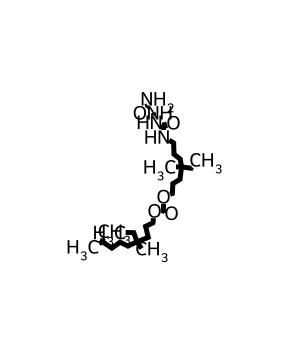 CCC(C)(CCCNC(=O)NNC(N)=O)CCCOC(=O)OCCCC(C)(CC)CCCC(C)C